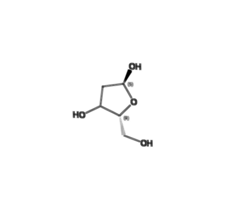 OC[C@H]1O[C@H](O)CC1O